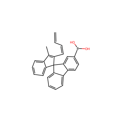 C=C/C=C\C1=C(C)c2ccccc2C12c1ccccc1-c1ccc(B(O)O)cc12